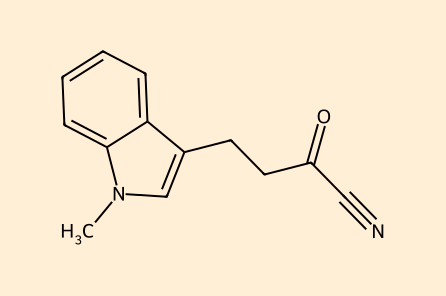 Cn1cc(CCC(=O)C#N)c2ccccc21